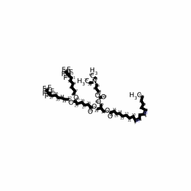 CCCCC/C=C\C/C=C\CCCCCCCC(=O)OCC(COC(=O)CCCCC(OCCCCCCC(F)(F)C(F)(F)F)OCCCCCCC(F)(F)C(F)(F)F)COC(=O)OCCCN(CC)CC